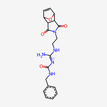 N/C(=N\C(=O)NCc1ccccc1)NCCN1C(=O)C2C3C=CC(O3)C2C1=O